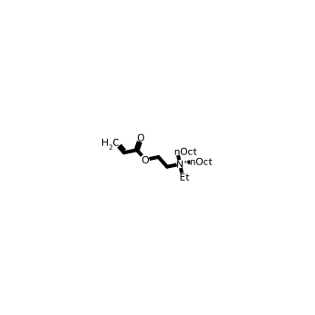 C=CC(=O)OCC[N+](CC)(CCCCCCCC)CCCCCCCC